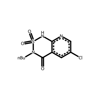 CCCCN1C(=O)c2cc(Cl)cnc2NS1(=O)=O